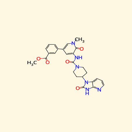 COC(=O)c1cccc(-c2cc(NC(=O)N3CCC(n4c(=O)[nH]c5ncccc54)CC3)c(=O)n(C)c2)c1